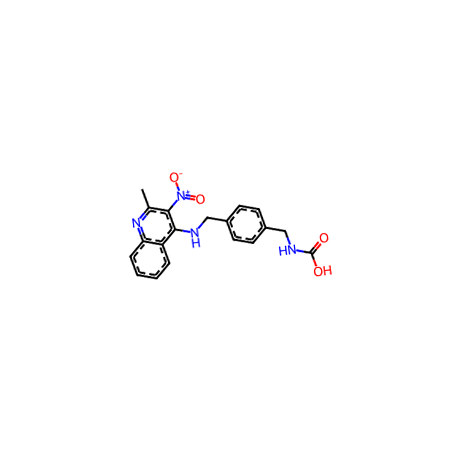 Cc1nc2ccccc2c(NCc2ccc(CNC(=O)O)cc2)c1[N+](=O)[O-]